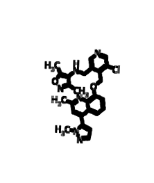 Cc1cc(-c2ccnn2C)c2cccc(OCc3c(Cl)cncc3CNc3c(C)noc3C)c2n1